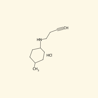 C#CCCNC1CCC(C)CC1.Cl